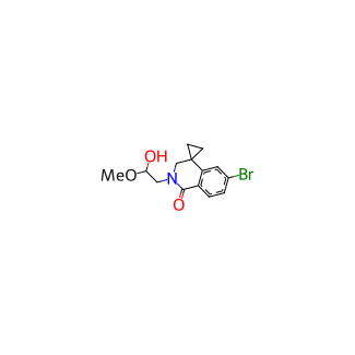 COC(O)CN1CC2(CC2)c2cc(Br)ccc2C1=O